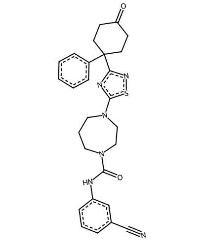 N#Cc1cccc(NC(=O)N2CCCN(c3nc(C4(c5ccccc5)CCC(=O)CC4)ns3)CC2)c1